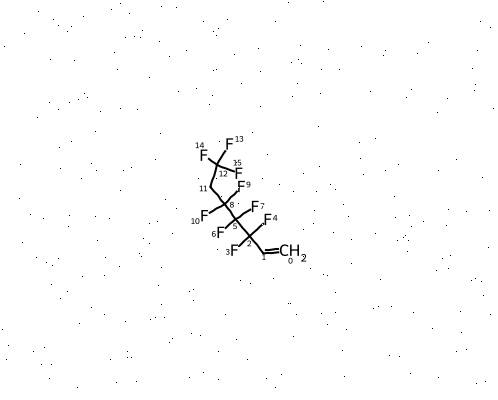 C=CC(F)(F)C(F)(F)C(F)(F)CC(F)(F)F